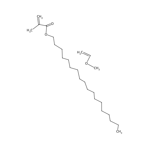 C=C(C)C(=O)OCCCCCCCCCCCCCCCCCC.C=COC